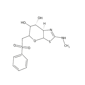 CNC1=N[C@H]2C(OC(CS(=O)(=O)c3ccccc3)C(O)[C@@H]2O)S1